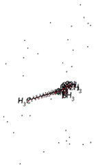 CCCCCCCCCCCCCCCCCCOCC(NC(C)=O)C(=O)N[C@@H](CC(C)C)C(=O)O